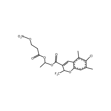 Cc1cc2c(c(C)c1Cl)C=C(C(=O)OC(C)OC(=O)CCO[N+](=O)[O-])C(C(F)(F)F)O2